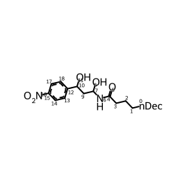 CCCCCCCCCCCCCC(=O)NC(O)CC(O)c1ccc([N+](=O)[O-])cc1